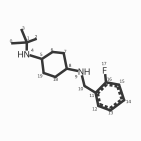 CC(C)(C)NC1CCC(NCc2ccccc2F)CC1